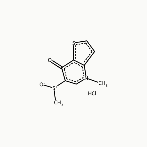 Cl.Cn1cc([S+](C)[O-])c(=O)c2sccc21